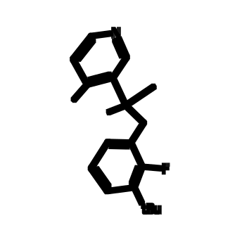 Cc1ccncc1C(C)(C)Cc1cccc(C(C)(C)C)c1F